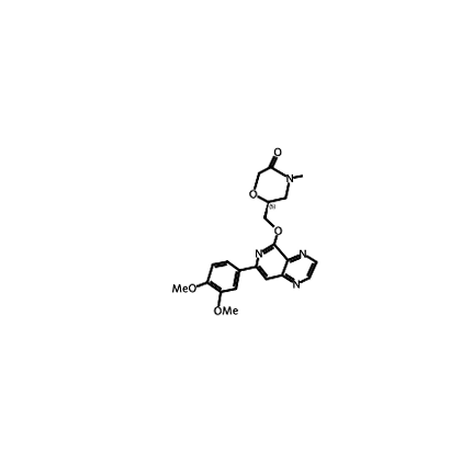 COc1ccc(-c2cc3nccnc3c(OC[C@@H]3CN(C)C(=O)CO3)n2)cc1OC